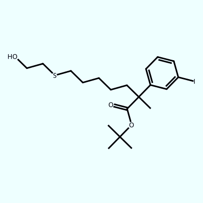 CC(C)(C)OC(=O)C(C)(CCCCCSCCO)c1cccc(I)c1